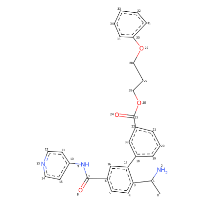 CC(N)c1ccc(C(=O)Nc2ccncc2)cc1-c1cccc(C(=O)OCCCOc2ccccc2)c1